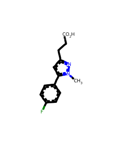 Cn1nc(CCC(=O)O)cc1-c1ccc(F)cc1